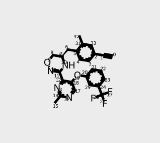 C#Cc1ccc(C[C@@H]2CON=C(c3nc(C)ncc3Oc3cccc(C(F)(F)F)c3)N2)c(C)c1